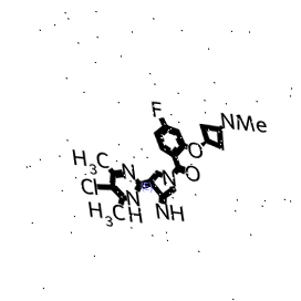 CN[C@H]1C[C@@H](Oc2cc(F)ccc2C(=O)N2CC(=N)/C(=C3/N=C(C)C(Cl)=C(C)N3)C2)C1